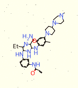 C=CC(=O)Nc1cccc(NC2NC(Nc3ccc(N4CCC(N5CCN(C)CC5)CC4)c(C)c3)C(C(N)=O)N=C2CC)c1